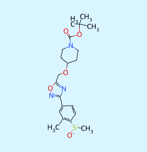 Cc1cc(-c2noc(COC3CCN(C(=O)OC(C)(C)C)CC3)n2)ccc1[S+](C)[O-]